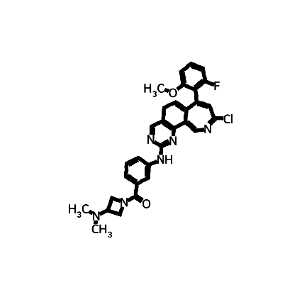 COc1cccc(F)c1C1=CC(Cl)=NC=C2C1=CCc1cnc(Nc3cccc(C(=O)N4CC(N(C)C)C4)c3)nc12